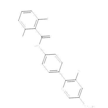 O=C(O)c1cnc(-c2ccc(NC(=O)c3c(F)cccc3F)cc2)c(Br)c1